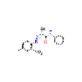 CC(=O)C(/N=N/c1ccc(C)cc1[N+](=O)[O-])C(=O)Nc1ccccc1